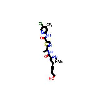 CN/C=N\C(=C/CC#CCCO)C(=O)NC(C)c1ncc(C(=O)Nc2cc(C(F)(F)F)c(Cl)cn2)s1